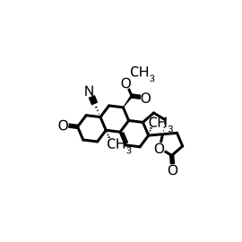 COC(=O)[C@@H]1C[C@]2(C#N)CC(=O)CC[C@]2(C)C2=CC[C@@]3(C)C(CC[C@@]34CCC(=O)O4)C21